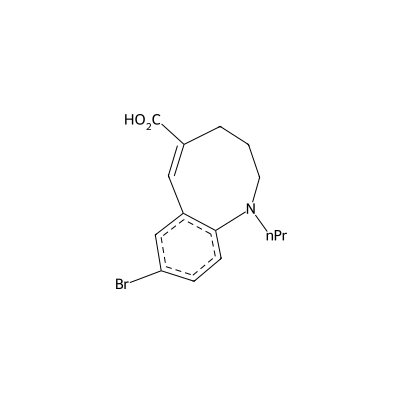 CCCN1CCCC(C(=O)O)=Cc2cc(Br)ccc21